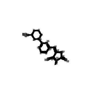 NC1CCCN(c2nccc(/C=C3/SC(=O)NC3=O)n2)C1